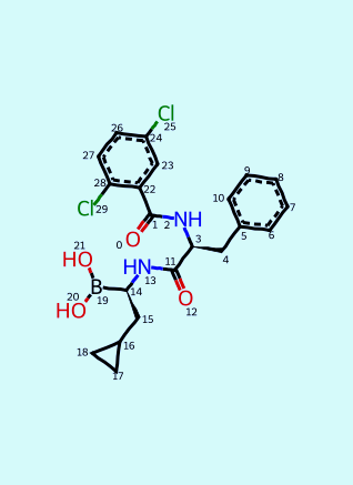 O=C(N[C@@H](Cc1ccccc1)C(=O)N[C@@H](CC1CC1)B(O)O)c1cc(Cl)ccc1Cl